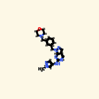 Cn1cc(Nc2ncc3cnn(Cc4cccc(CN5CCOCC5)c4)c3n2)cn1